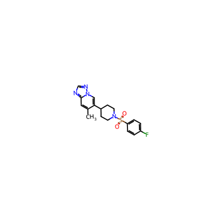 Cc1cc2ncnn2cc1C1CCN(S(=O)(=O)c2ccc(F)cc2)CC1